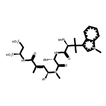 CN[C@H](C(=O)N[C@H](C(=O)N(C)[C@H](/C=C(\C)C(=O)N[C@H](CC(=O)O)C(=O)O)C(C)C)C(C)(C)C)C(C)(C)c1cn(C)c2ccccc12